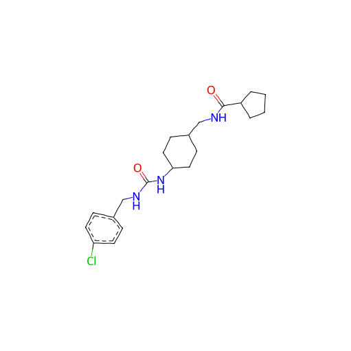 O=C(NCc1ccc(Cl)cc1)NC1CCC(CNC(=O)C2CCCC2)CC1